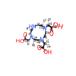 C[C@H](C(=O)O)N1C[C@H](C)NC[C@H](C)N([C@H](C)C(=O)O)C[C@H](C)N([C@H](C)C(=O)O)C[C@@H]1C